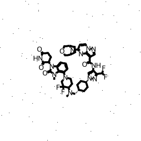 CN(C[C@H]1CC[C@H](n2cc(NC(=O)c3cnn4ccc(N5C6CCC5COC6)nc34)c(C(F)F)n2)CC1)C1CCN(c2cccc3c2n(C)c(=O)n3C2CCC(=O)NC2=O)CC1(F)F